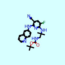 CC(C)(CNC(=O)OC(C)(C)C)Nc1nc(Nc2ccc3ncccc3c2)c(C#N)cc1F